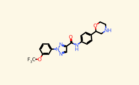 O=C(Nc1ccc(C2CNCCO2)cc1)c1cnn(-c2cccc(OC(F)(F)F)c2)n1